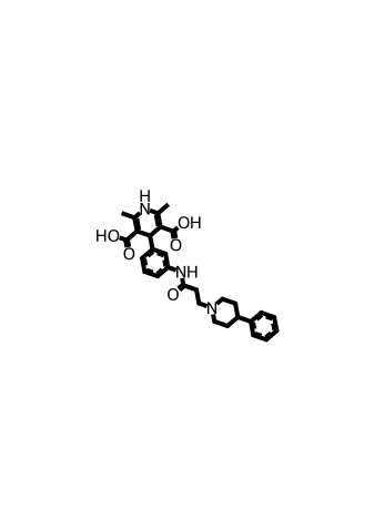 CC1=C(C(=O)O)C(c2cccc(NC(=O)CCN3CCC(c4ccccc4)CC3)c2)C(C(=O)O)=C(C)N1